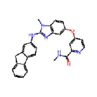 CNC(=O)c1cc(Oc2ccc3c(c2)nc(Nc2ccc4c(c2)Cc2ccccc2-4)n3C)ccn1